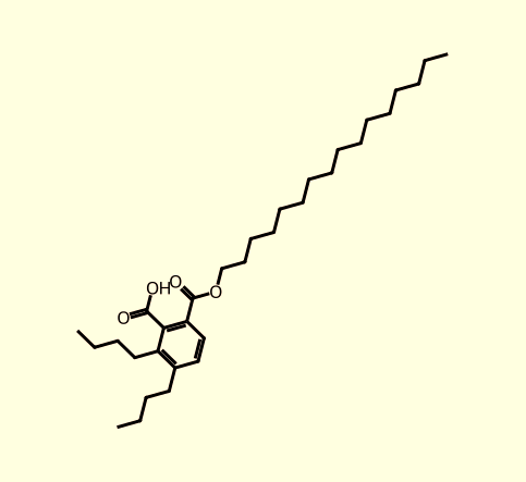 CCCCCCCCCCCCCCCCOC(=O)c1ccc(CCCC)c(CCCC)c1C(=O)O